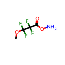 COC(F)(F)C(F)(F)C(=O)ON